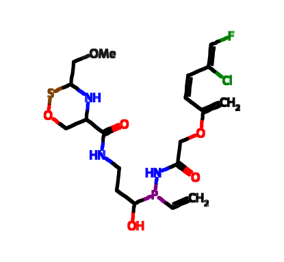 C=CP(NC(=O)COC(=C)/C=C\C(Cl)=C\F)C(O)CCNC(=O)C1COSC(COC)N1